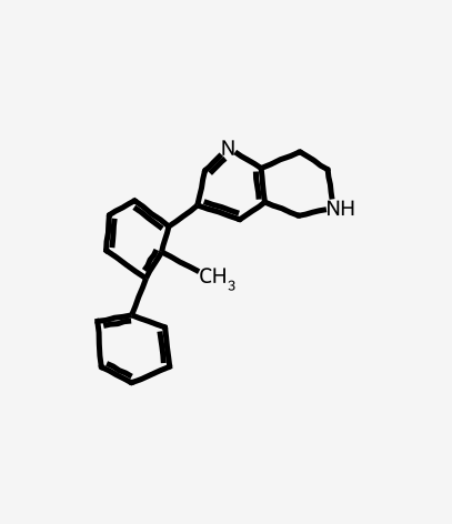 Cc1c(-c2ccccc2)cccc1-c1cnc2c(c1)CNCC2